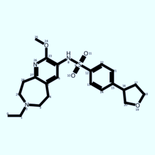 CCN1CCc2cc(NS(=O)(=O)c3ccc(C4CCOC4)cc3)c(OC)nc2CC1